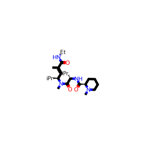 CCNC(=O)/C(C)=C/[C@H](C(C)C)N(C)C(=O)[C@@H](NC(=O)[C@H]1CCCCN1C)C(C)C